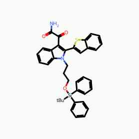 CC(C)(C)[Si](OCCCn1c(-c2cc3ccccc3s2)c(C(=O)C(N)=O)c2ccccc21)(c1ccccc1)c1ccccc1